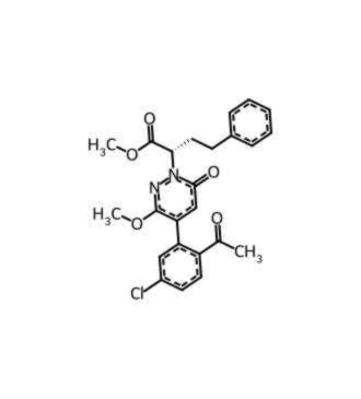 COC(=O)[C@H](CCc1ccccc1)n1nc(OC)c(-c2cc(Cl)ccc2C(C)=O)cc1=O